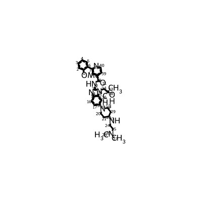 COc1ccccc1-c1cc(C(=O)Nc2nc3ccc(N4CCC(NCCN(C)C)CC4)cc3n2CC(C)(C)O)ccn1